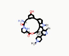 CCn1c(-c2cc(C3=CCN(C)CC3)cnc2C(C)C)c2c3cc(ccc31)-c1cc(O)cc(c1)C[C@H](N)C(=O)N1CCC[C@H](N1)C(=O)OCC(C)(C)C2